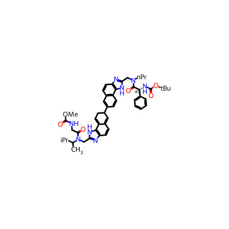 CCCN(Cc1nc2ccc3cc(C4C=c5ccc6nc(CN(C(=O)CNC(=O)OC)C(C)C(C)C)[nH]c6c5=CC4)ccc3c2[nH]1)C(=O)[C@H](NC(=O)OC(C)(C)C)c1ccccc1